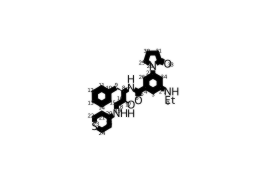 CCNc1cc(C(=O)N[C@@H](Cc2ccccc2)[C@H](O)CNC2CCSCC2)cc(N2CCCC2=O)c1